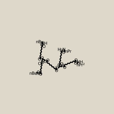 CCCCNOC(=O)CCCCCCCC(=O)OC(COC(=O)CCCCCCCC(=O)OCC(COC(=O)CCCCCCCC(=O)OC(N)CCC)OC(=O)CCCCCCCC(=O)OC(N)CCC)COC(=O)CCCCCC(=O)ONCCCC